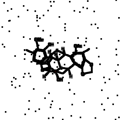 COc1c(C)cc2c(c1O)[C@@H]1[C@@H]3[C@@H]4SCC(NC(C)=O)C(=O)OC[C@@H](c5c6c(c(C)c(OC(C)=O)c54)OCO6)N3[C@@H](O)[C@H](C2)N1C